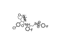 [N-]=[N+]=N[C@H](C(=O)Nc1cccc(F)c1CCC1CN1S(=O)(=O)c1ccc(F)cc1)[C@@H](c1ccc(Cl)cc1)C1CCOCC1